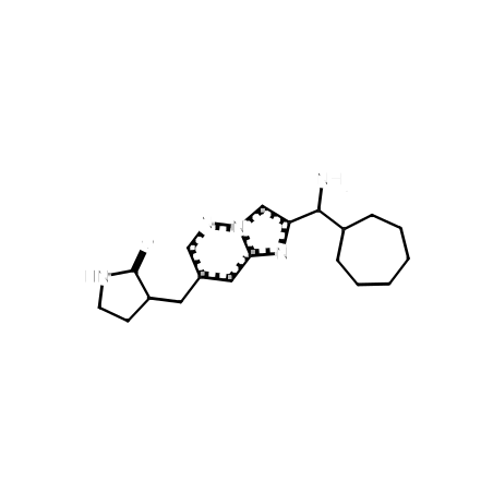 NC(c1cn2ncc(CC3CCNC3=O)cc2n1)C1CCCCCC1